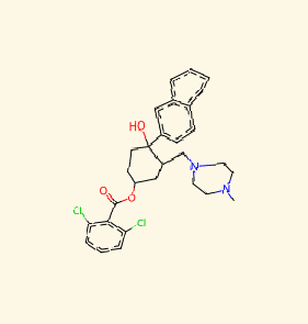 CN1CCN(CC2CC(OC(=O)c3c(Cl)cccc3Cl)CCC2(O)c2ccc3ccccc3c2)CC1